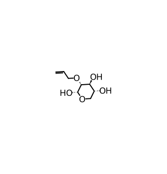 C=CCO[C@@H]1[C@@H](O)[C@H](O)CO[C@@H]1O